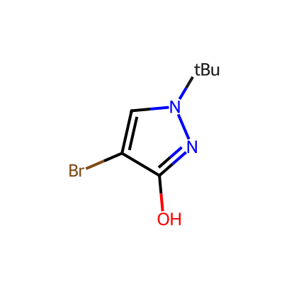 CC(C)(C)n1cc(Br)c(O)n1